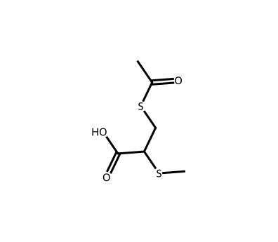 CSC(CSC(C)=O)C(=O)O